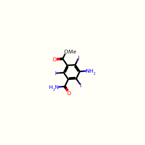 COC(=O)c1c(I)c(N)c(I)c(C(N)=O)c1I